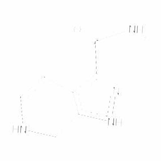 NC(=O)c1n[nH]c2c1C=CNC2